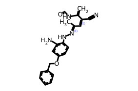 C=C(NC=O)/C(C#N)=C\C(C)=N\Nc1ccc(OCc2ccccc2)cc1N